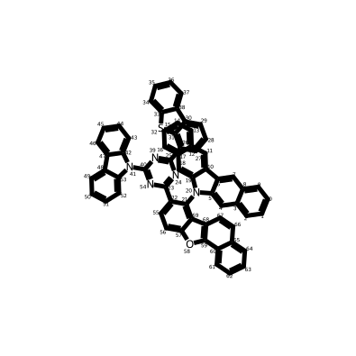 c1ccc2cc3c(cc2c1)c1cc2ccccc2cc1n3-c1c(-c2nc(-c3cccc4c3sc3ccccc34)nc(-n3c4ccccc4c4ccccc43)n2)ccc2oc3c4ccccc4ccc3c12